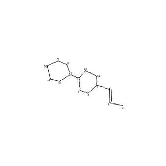 C/C=C/C1CCC(C2CCCCC2)CC1